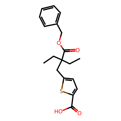 CCC(CC)(Cc1ccc(C(=O)O)s1)C(=O)OCc1ccccc1